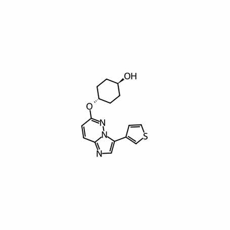 O[C@H]1CC[C@H](Oc2ccc3ncc(-c4ccsc4)n3n2)CC1